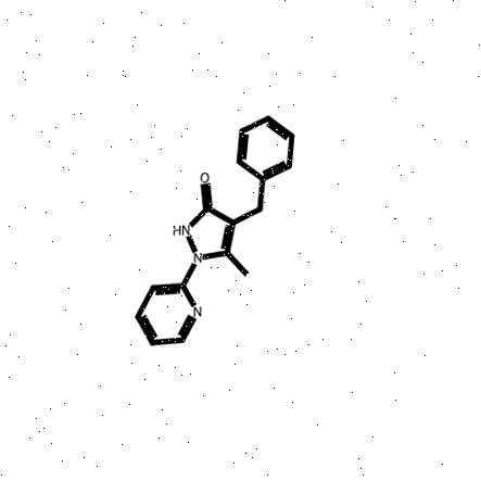 Cc1c(Cc2ccccc2)c(=O)[nH]n1-c1ccccn1